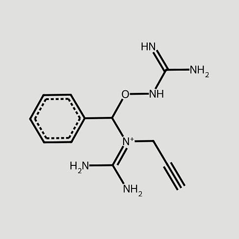 C#CC[N+](=C(N)N)C(ONC(=N)N)c1ccccc1